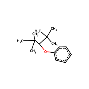 CC(C)(C)C(Oc1ccccc1)C(C)(C)C